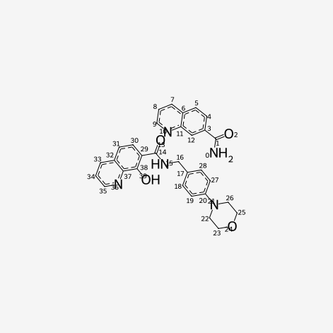 NC(=O)c1ccc2cccnc2c1.O=C(NCc1ccc(N2CCOCC2)cc1)c1ccc2cccnc2c1O